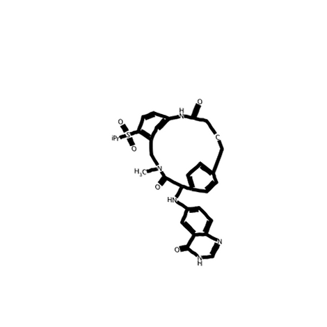 CC(C)S(=O)(=O)c1ccc2cc1CN(C)C(=O)C(Nc1ccc3nc[nH]c(=O)c3c1)c1ccc(cc1)CCCC(=O)N2